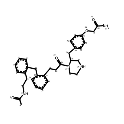 CC(=O)NCCc1ccccc1Cc1ccccc1CCC(=O)N1CCNCC1Cc1ccc(OCC(N)=O)cc1